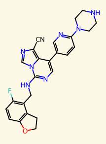 N#Cc1ncn2c(NCc3c(F)ccc4c3CCO4)ncc(-c3ccc(N4CCNCC4)nc3)c12